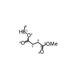 CBOC(=O)CCC(=O)OC